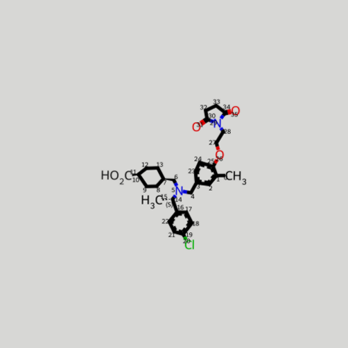 Cc1cc(CN(C[C@H]2CC[C@@H](C(=O)O)CC2)[C@@H](C)c2ccc(Cl)cc2)ccc1OCCN1C(=O)CCC1=O